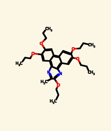 CCCOc1cc2c3cc(OCCC)c(OCCC)cc3c3nc(OCCC)c(C)nc3c2cc1OCCC